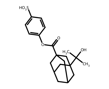 CC(C)(O)C12CC3CC(CC(C(=O)Oc4ccc(S(=O)(=O)O)cc4)(C3)C1)C2